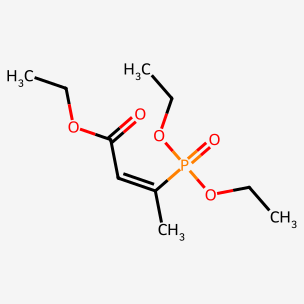 CCOC(=O)C=C(C)P(=O)(OCC)OCC